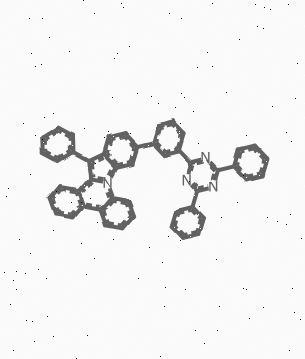 c1ccc(-c2nc(-c3ccccc3)nc(-c3cccc(-c4ccc5c(-c6ccccc6)c6c7ccccc7c7ccccc7n6c5c4)c3)n2)cc1